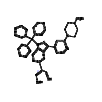 CCOC(=O)C1CCN(c2cc(-c3nn(C(c4ccccc4)(c4ccccc4)c4ccccc4)c4ccc(/C(C=N)=C/NC)cc34)ccn2)CC1